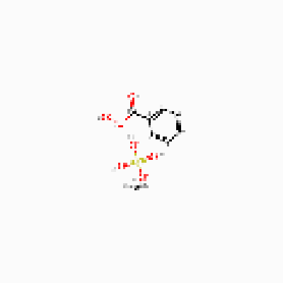 O=C(O[O-])c1ccccc1.O=S(=O)([O-])[O-].[Fe+3]